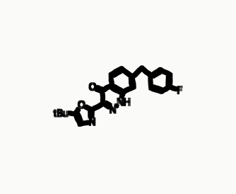 CC(C)(C)c1cnc(-c2n[nH]c3cc(Cc4ccc(F)cc4)ccc3c2=O)o1